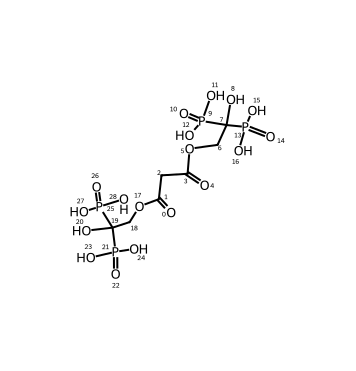 O=C(CC(=O)OCC(O)(P(=O)(O)O)P(=O)(O)O)OCC(O)(P(=O)(O)O)P(=O)(O)O